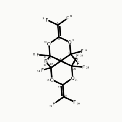 FC(F)=C1OC(F)(F)C2(C(F)(F)O1)C(F)(F)OC(=C(F)F)OC2(F)F